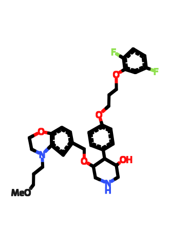 COCCCN1CCOc2ccc(COC3CNCC(O)C3c3ccc(OCCCOc4cc(F)ccc4F)cc3)cc21